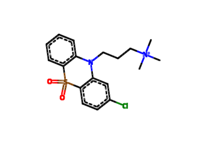 C[N+](C)(C)CCCN1c2ccccc2S(=O)(=O)c2ccc(Cl)cc21